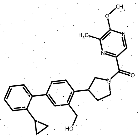 COc1ncc(C(=O)N2CCC(c3ccc(-c4ccccc4C4CC4)cc3CO)C2)nc1C